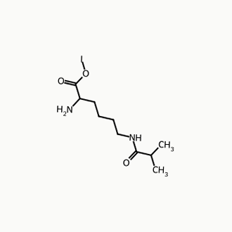 CC(C)C(=O)NCCCCC(N)C(=O)OI